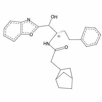 O=C(CC1CC2CCC1C2)N[C@@H](CCc1ccccc1)C(O)c1nc2ccccc2o1